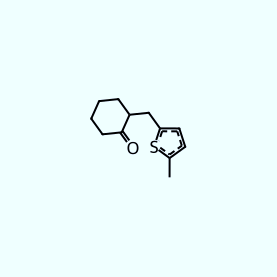 Cc1ccc(CC2CCCCC2=O)s1